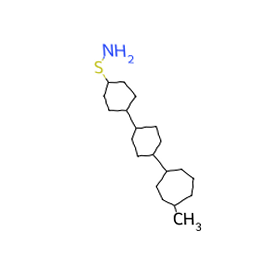 CC1CCCC(C2CCC(C3CCC(SN)CC3)CC2)CC1